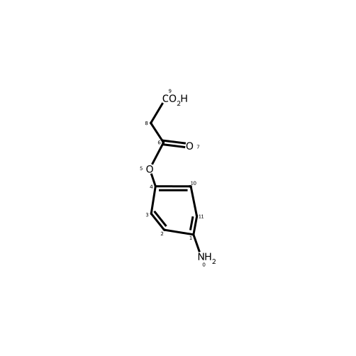 Nc1ccc(OC(=O)CC(=O)O)cc1